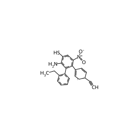 C#C[C]1[C]C=C(c2c([N+](=O)[O-])cc(S)c(N)c2-c2ccccc2CC)C=C1